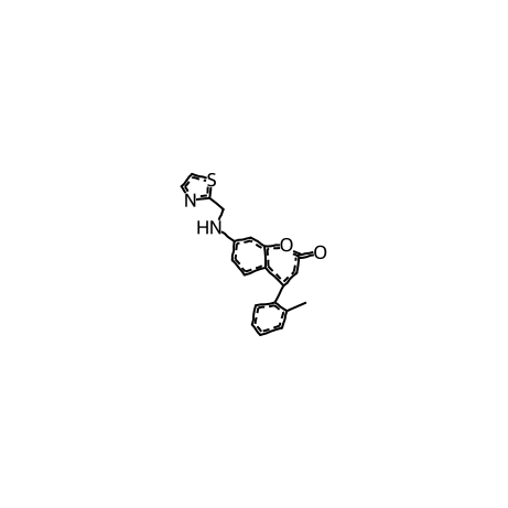 Cc1ccccc1-c1cc(=O)oc2cc(NCc3nccs3)ccc12